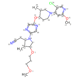 COCCCOC1CN(c2cnc(OC3CCN(c4cc(OC)ncc4Cl)CC3C)cn2)C(CC#N)C1C